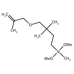 C=C(C)COCC(C)(C)CC[Si](C)(OC)OC